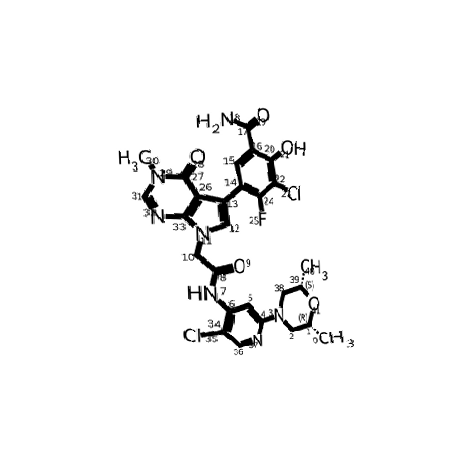 C[C@@H]1CN(c2cc(NC(=O)Cn3cc(-c4cc(C(N)=O)c(O)c(Cl)c4F)c4c(=O)n(C)cnc43)c(Cl)cn2)C[C@H](C)O1